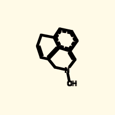 ON1C=c2cccc3c2=C(C=CC3)C1